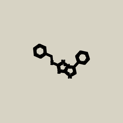 c1ccc(CSc2nn3c(-c4ccccc4)cnc3s2)cc1